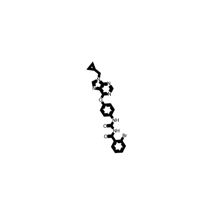 O=C(NC(=O)c1ccccc1Br)Nc1ccc(Oc2ncnc3c2ncn3CC2CC2)cc1